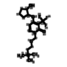 C[Si](C)(C)CCOCn1ncc(OC2CCCC2O)c(C(F)(F)F)c1=O